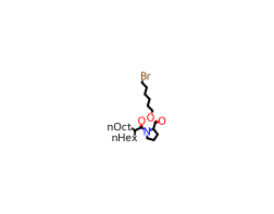 CCCCCCCCC(CCCCCC)C(=O)N1CCCC1C(=O)OCCCCCCBr